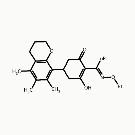 CCC/C(=N\OCC)C1=C(O)CC(c2c(C)c(C)c(C)c3c2OCCC3)CC1=O